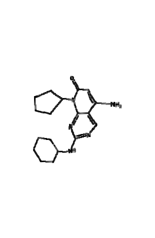 Nc1cc(=O)n(C2CCCC2)c2nc(NC3CCCCC3)ncc12